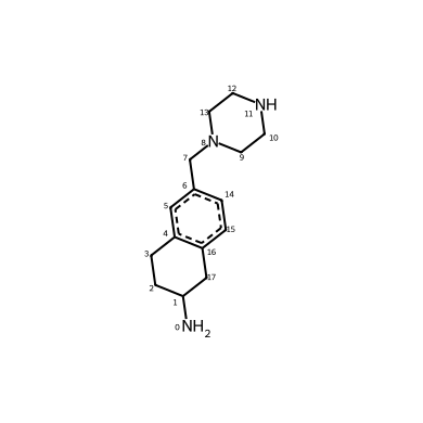 NC1CCc2cc(CN3CCNCC3)ccc2C1